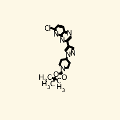 CC(C)(C)OC(=O)N1CCC(n2cc(-c3cnc4ccc(Cl)nc4n3)cn2)CC1